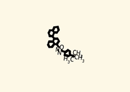 CC(C)(C)c1ccc(-c2nnc(-c3ccc(-c4cccc5ccccc45)c4ccccc34)o2)cc1